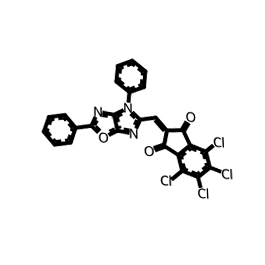 O=C1C(=Cc2nc3oc(-c4ccccc4)nc3n2-c2ccccc2)C(=O)c2c(Cl)c(Cl)c(Cl)c(Cl)c21